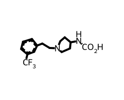 O=C(O)NC1CCN(CCc2cccc(C(F)(F)F)c2)CC1